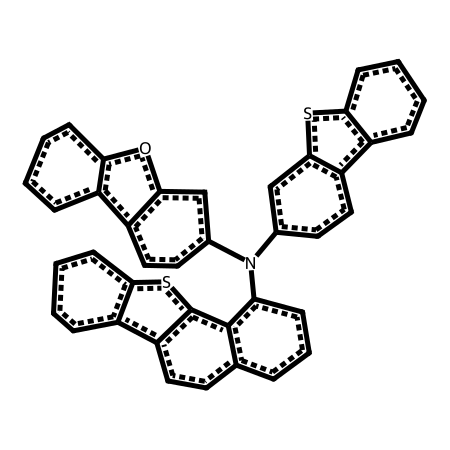 c1cc(N(c2ccc3c(c2)oc2ccccc23)c2ccc3c(c2)sc2ccccc23)c2c(c1)ccc1c3ccccc3sc12